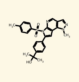 Cc1ccc(S(=O)(=O)n2c(-c3ccc(C(C)(C)O)cc3)cc3c4c(cnc32)cnn4C)cc1